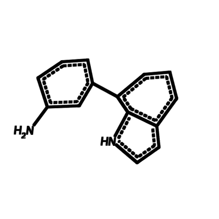 Nc1cccc(-c2cccc3cc[nH]c23)c1